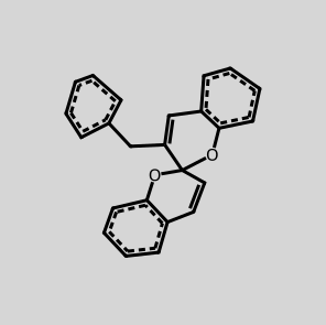 C1=CC2(Oc3ccccc31)Oc1ccccc1C=C2Cc1ccccc1